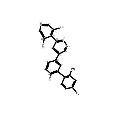 N#Cc1cc(F)ccc1-c1cc(-c2cnnc(-c3c(F)cncc3F)c2)ccc1F